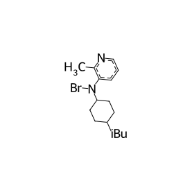 CCC(C)C1CCC(N(Br)c2cccnc2C)CC1